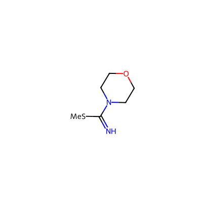 CSC(=N)N1CCOCC1